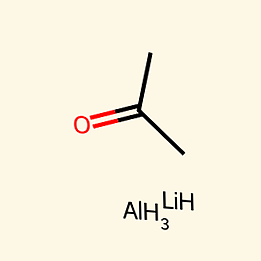 CC(C)=O.[AlH3].[LiH]